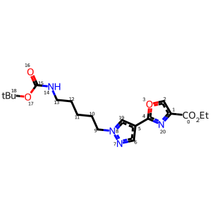 CCOC(=O)c1coc(-c2cnn(CCCCCNC(=O)OC(C)(C)C)c2)n1